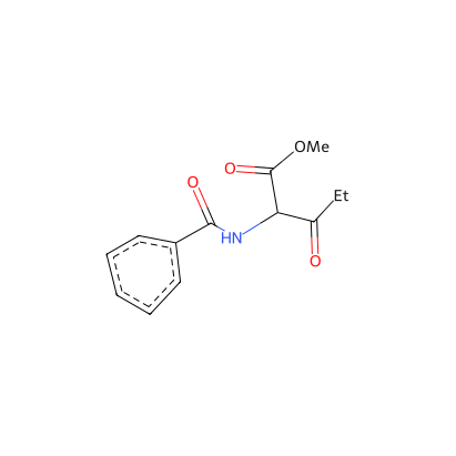 CCC(=O)C(NC(=O)c1ccccc1)C(=O)OC